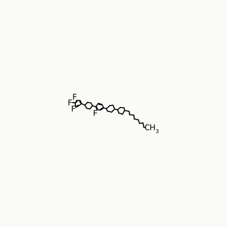 CCCCCCCCCC1CCC(C2CCC(c3ccc(C4CCC(c5cc(F)c(F)c(F)c5)CC4)c(F)c3)CC2)CC1